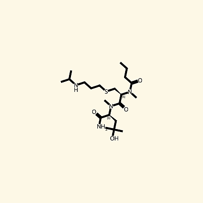 CCCC(=O)N(C)[C@H](CSCCCNC(C)C)C(=O)N(C)[C@@H](CC(C)(C)O)C(N)=O